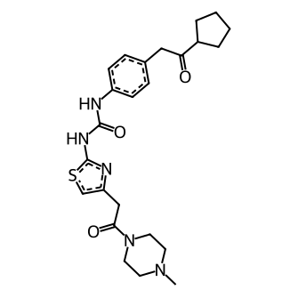 CN1CCN(C(=O)Cc2csc(NC(=O)Nc3ccc(CC(=O)C4CCCC4)cc3)n2)CC1